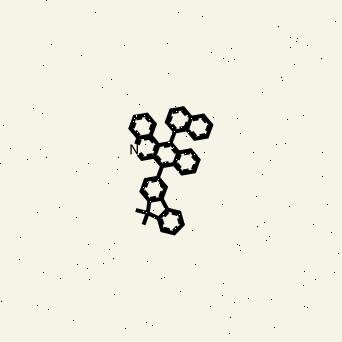 CC1(C)c2ccccc2-c2cc(-c3c4ccccc4c(-c4cccc5ccccc45)c4c3cnc3ccccc34)ccc21